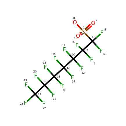 [O]S(=O)(=O)C(F)(F)C(F)(F)C(F)(F)C(F)(F)C(F)(F)C(F)(F)C(F)(F)F